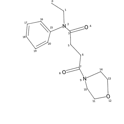 CCN(C(=O)CCC(=O)N1CCOCC1)c1ccccc1